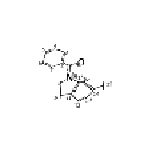 O=C(c1ccccc1)N1CCc2ccc(I)cc21